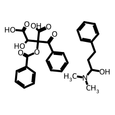 CN(C)C(O)CCc1ccccc1.O=C(OC(C(=O)O)(C(=O)c1ccccc1)C(O)C(=O)O)c1ccccc1